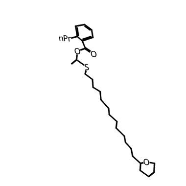 CCCc1ccccc1C(=O)OC(C)SCCCCCCCCCCCCCC1CCCCO1